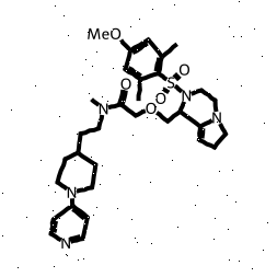 COc1cc(C)c(S(=O)(=O)N2CCN3CCC=C3C2COCC(=O)N(C)CCC2CCN(c3ccncc3)CC2)c(C)c1